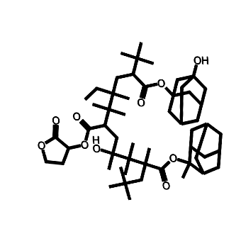 CCC(C)(CC(C(=O)OC12CC3CC(CC(O)(C3)C1)C2)C(C)(C)C)C(C)(C)C(CC(C)(O)C(C)(C)C(C)(CC(C)(C)C)C(=O)OC1(C)C2CC3CC(C2)CC1C3)C(=O)OC1CCOC1=O